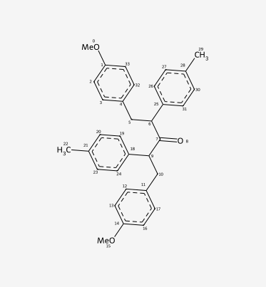 COc1ccc(CC(C(=O)C(Cc2ccc(OC)cc2)c2ccc(C)cc2)c2ccc(C)cc2)cc1